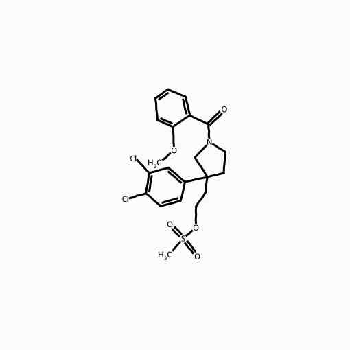 COc1ccccc1C(=O)N1CCC(CCOS(C)(=O)=O)(c2ccc(Cl)c(Cl)c2)C1